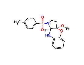 CCO[C@@]12CCN(S(=O)(=O)c3ccc(C)cc3)[C@@H]1Nc1ccccc1O2